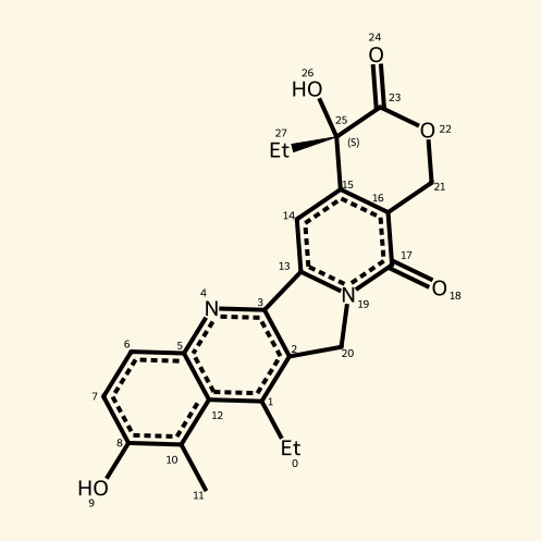 CCc1c2c(nc3ccc(O)c(C)c13)-c1cc3c(c(=O)n1C2)COC(=O)[C@]3(O)CC